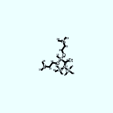 CCC(N([Si](C)(C)C)[Si](C)(C)C)[Si](C)(OCCN(C)C)OCCN(C)C